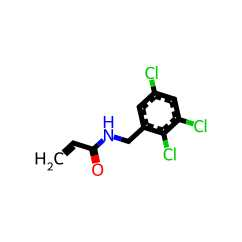 C=CC(=O)NCc1cc(Cl)cc(Cl)c1Cl